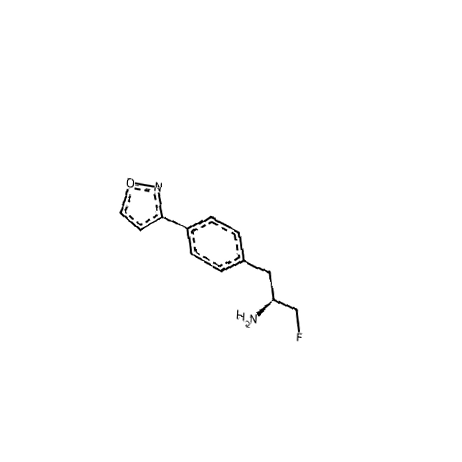 N[C@H](CF)Cc1ccc(-c2ccon2)cc1